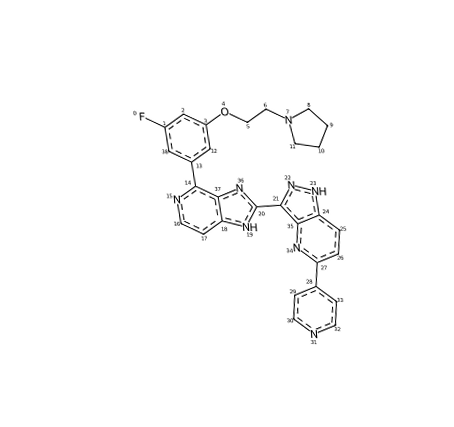 Fc1cc(OCCN2CCCC2)cc(-c2nccc3[nH]c(-c4n[nH]c5ccc(-c6ccncc6)nc45)nc23)c1